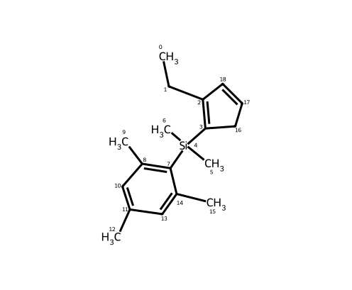 CCC1=C([Si](C)(C)c2c(C)cc(C)cc2C)CC=C1